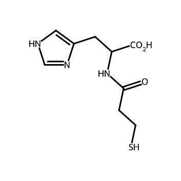 O=C(CCS)NC(Cc1c[nH]cn1)C(=O)O